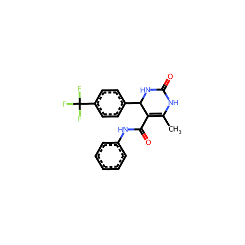 CC1=C(C(=O)Nc2ccccc2)C(c2ccc(C(F)(F)F)cc2)NC(=O)N1